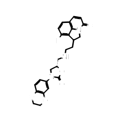 O=C1O[C@H](CNCCC2Cn3c(=O)ccc4ccc(F)c2c43)CN1c1ccc2c(c1)OCCO2